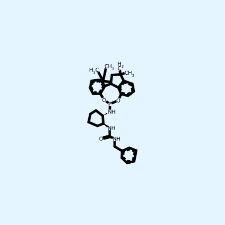 CC1(C)CC23CC(C)(C)c4cccc(c42)OP(N[C@H]2CCCC[C@@H]2NC(=O)NCc2ccccc2)Oc2cccc1c23